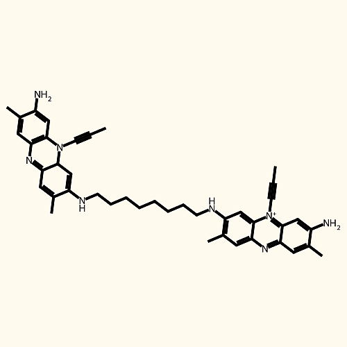 CC#CN1c2cc(N)c(C)cc2N=C2C=C(C)C(NCCCCCCCCNc3cc4c(cc3C)nc3cc(C)c(N)cc3[n+]4C#CC)=CC21